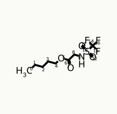 CCCCCOC(=O)CNS(=O)(=O)C(F)(F)F